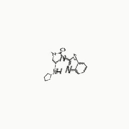 CN1CC(NC2CCCC2)N(c2nc3ccccc3s2)C1=O